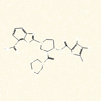 Cc1[nH]c(C(=O)N[C@@H]2CCN(c3nc4cccc(C(=O)O)c4s3)C[C@@H]2C(=O)N2CCOCC2)c(Cl)c1Cl